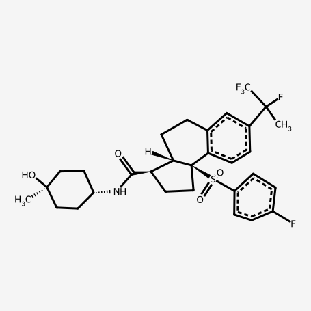 CC(F)(c1ccc2c(c1)CC[C@H]1[C@H](C(=O)N[C@H]3CC[C@](C)(O)CC3)CC[C@@]21S(=O)(=O)c1ccc(F)cc1)C(F)(F)F